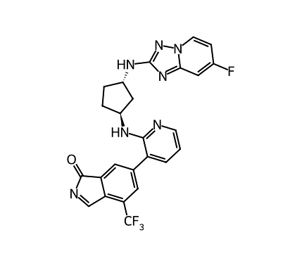 O=C1N=Cc2c1cc(-c1cccnc1N[C@H]1CC[C@H](Nc3nc4cc(F)ccn4n3)C1)cc2C(F)(F)F